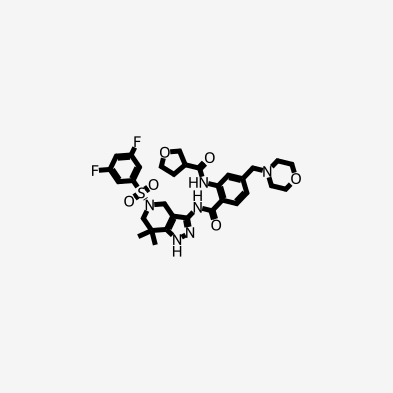 CC1(C)CN(S(=O)(=O)c2cc(F)cc(F)c2)Cc2c(NC(=O)c3ccc(CN4CCOCC4)cc3NC(=O)C3CCOC3)n[nH]c21